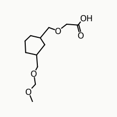 COCOCC1CCCC(COCC(=O)O)C1